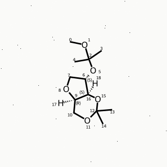 COC(C)(C)O[C@H]1CO[C@@H]2COC(C)(C)O[C@H]12